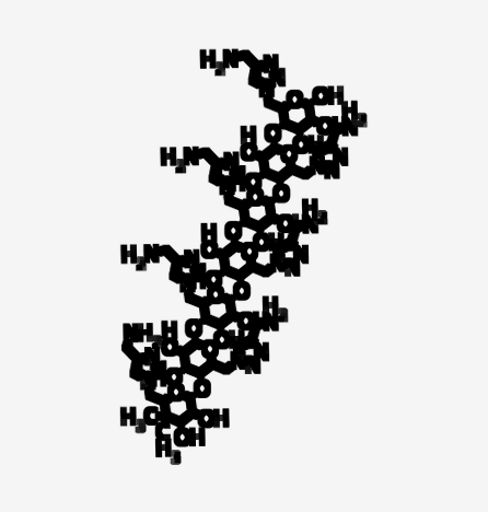 CC1(C)C(Cn2cc(CN)nn2)O[C@H](O[C@@H]2C(Cn3cc(CN)nn3)O[C@H](O[C@@H]3C(Cn4cc(CN)nn4)O[C@H](O[C@@H]4C(Cn5cc(CN)nn5)O[C@H](O[C@@H]5C(Cn6cc(CN)nn6)O[C@H](O[C@@H]6C(Cn7cc(CN)nn7)O[C@H](O[C@@H]7C(Cn8cc(CN)nn8)O[C@H](O)C(O)[C@H]7O)C(O)[C@H]6O)C(O)[C@H]5O)C(O)[C@H]4O)C(O)[C@H]3O)C(O)[C@H]2O)C(O)[C@H]1O